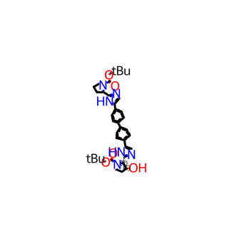 CC(C)(C)OC(=O)N1CCCC1c1ncc(-c2ccc(-c3ccc(-c4cnc([C@@H]5[C@@H](O)CCN5C(=O)OC(C)(C)C)[nH]4)cc3)cc2)[nH]1